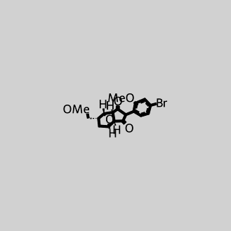 COC[C@H]1C[C@@H]2O[C@H]1[C@H]1C(=O)C(c3ccc(Br)cc3OC)C(=O)[C@H]12